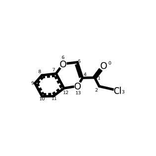 O=C(CCl)C1=COc2ccccc2O1